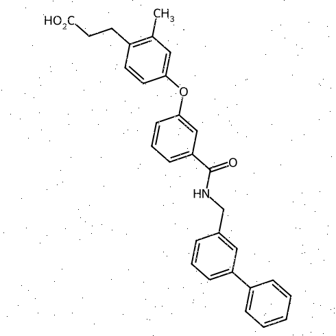 Cc1cc(Oc2cccc(C(=O)NCc3cccc(-c4ccccc4)c3)c2)ccc1CCC(=O)O